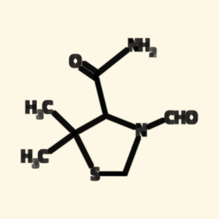 CC1(C)SCN(C=O)C1C(N)=O